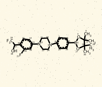 CC1(C)OB(c2ccc(N3CCN(c4ccc(C(O)C(F)(F)F)c(F)c4)CC3)cc2)OC1(C)C